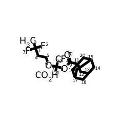 CC(F)(F)CCOC(OC(=O)C12CC3CC(CC(C3)C1)C2)(C(=O)O)C(F)(F)F